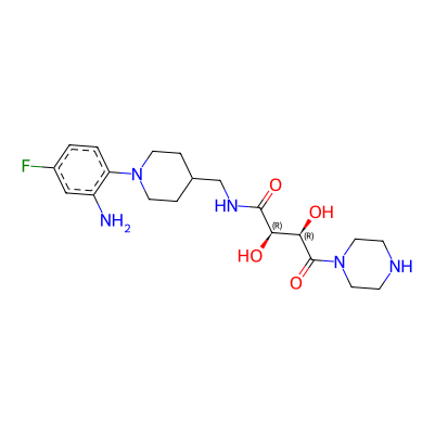 Nc1cc(F)ccc1N1CCC(CNC(=O)[C@H](O)[C@@H](O)C(=O)N2CCNCC2)CC1